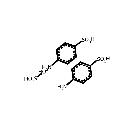 Nc1ccc(S(=O)(=O)O)cc1.Nc1ccc(S(=O)(=O)O)cc1.O=S(=O)(O)O